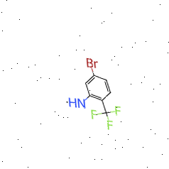 [NH]c1cc(Br)ccc1C(F)(F)F